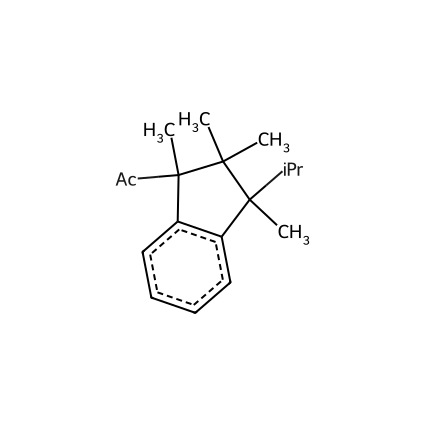 CC(=O)C1(C)c2ccccc2C(C)(C(C)C)C1(C)C